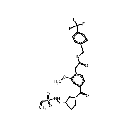 C=CS(=O)(=O)NC[C@H]1CCN(C(=O)c2ccc(CC(=O)NCc3ccc(C(F)(F)F)cc3)c(OC)c2)C1